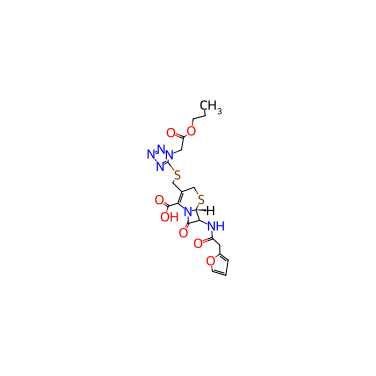 CCCOC(=O)Cn1nnnc1SCC1=C(C(=O)O)N2C(=O)C(NC(=O)Cc3ccco3)[C@H]2SC1